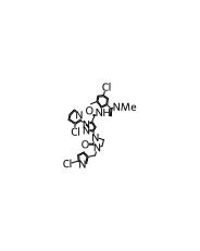 C=C(NC)c1cc(Cl)cc(C)c1NC(=O)c1cc(N2CCN(Cc3ccc(Cl)nc3)C2=O)nn1-c1ncccc1Cl